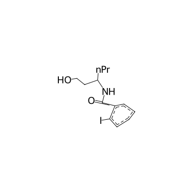 CCCC(CCO)NC(=O)c1ccccc1I